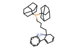 NC1(CCCCP(C23CC4CC(CC(C4)C2)C3)C23CC4CC(CC(C4)C2)C3)CC=CC=C1c1ccccc1